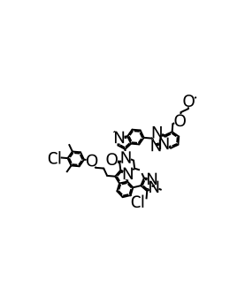 COCCOCc1cccn2nc(-c3ccc4c(c3)c(N3CC(C)n5c(c(CCCOc6cc(C)c(Cl)c(C)c6)c6ccc(Cl)c(-c7c(C)nn(C)c7C)c65)C3=O)cn4C)nc12